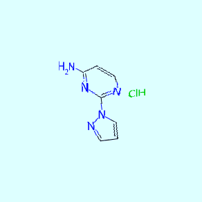 Cl.Nc1ccnc(-n2cccn2)n1